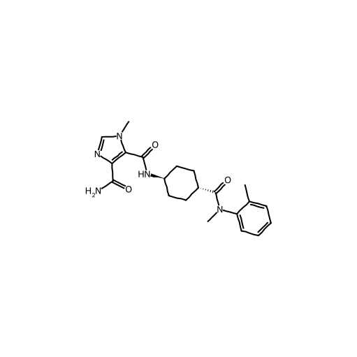 Cc1ccccc1N(C)C(=O)[C@H]1CC[C@H](NC(=O)c2c(C(N)=O)ncn2C)CC1